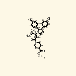 COC(=O)C1CCN(C(=O)C2=C(C(C)C)N3C(=NC(c4ccc(Cl)cc4)C3c3ccc(Cl)cc3)S2)CC1